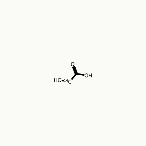 O=C(O)[14CH2]O